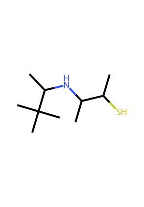 CC(S)C(C)NC(C)C(C)(C)C